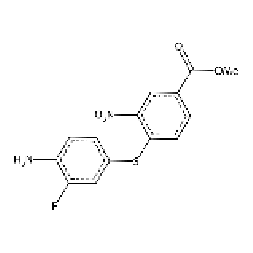 COC(=O)c1ccc(Sc2ccc(N)c(F)c2)c([N+](=O)[O-])c1